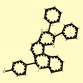 Clc1ccc(-c2nc3ccccc3c3c2ccc2nc(-c4ccccc4)c(-c4ccccc4)nc23)cc1